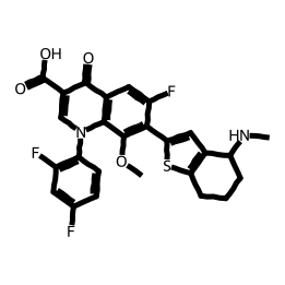 CNC1CCCc2sc(-c3c(F)cc4c(=O)c(C(=O)O)cn(-c5ccc(F)cc5F)c4c3OC)cc21